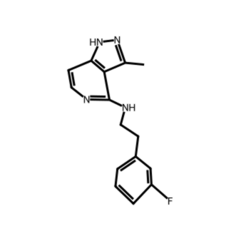 Cc1n[nH]c2ccnc(NCCc3cccc(F)c3)c12